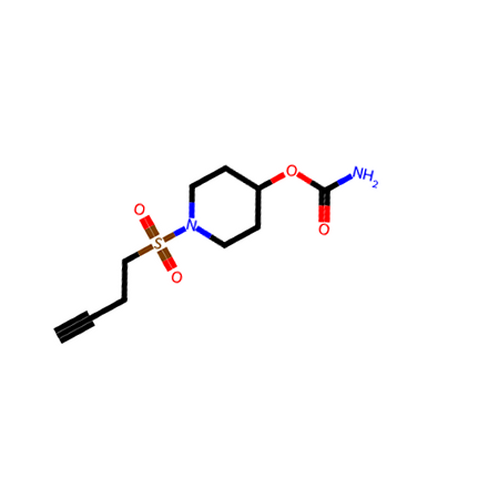 C#CCCS(=O)(=O)N1CCC(OC(N)=O)CC1